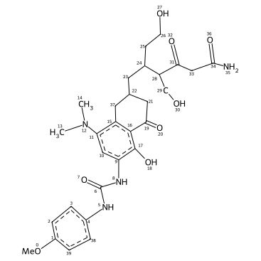 COc1ccc(NC(=O)Nc2cc(N(C)C)c3c(c2O)C(=O)CC(CC(CCO)C(CO)C(=O)CC(N)=O)C3)cc1